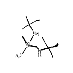 CC(C)(C)N[Si](C)([SiH3])NC(C)(C)C